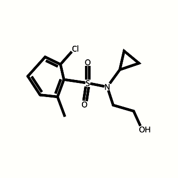 Cc1cccc(Cl)c1S(=O)(=O)N(CCO)C1CC1